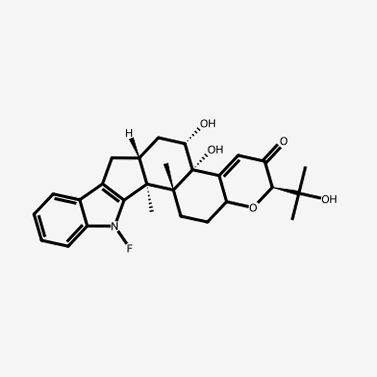 CC(C)(O)[C@H]1OC2CC[C@]3(C)[C@@]4(C)c5c(c6ccccc6n5F)C[C@@H]4C[C@H](O)[C@@]3(O)C2=CC1=O